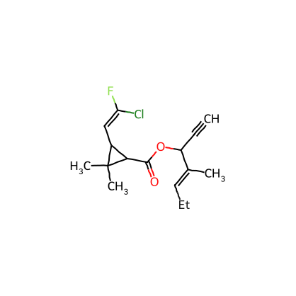 C#CC(OC(=O)C1C(C=C(F)Cl)C1(C)C)C(C)=CCC